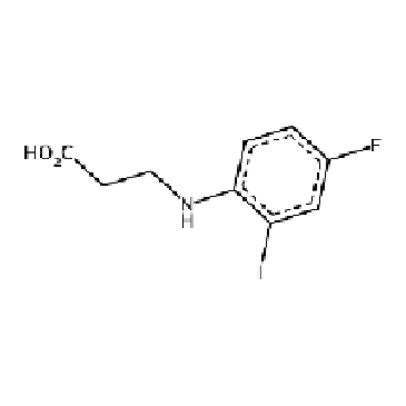 O=C(O)CCNc1ccc(F)cc1I